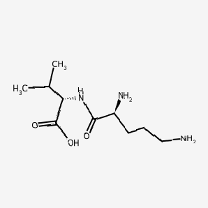 CC(C)[C@H](NC(=O)[C@@H](N)CCCN)C(=O)O